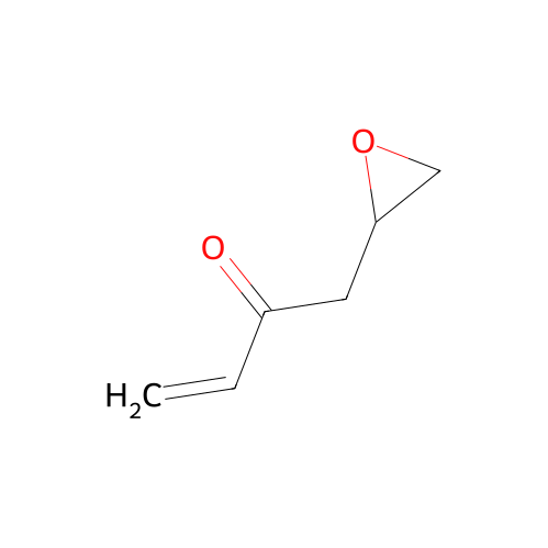 C=CC(=O)CC1CO1